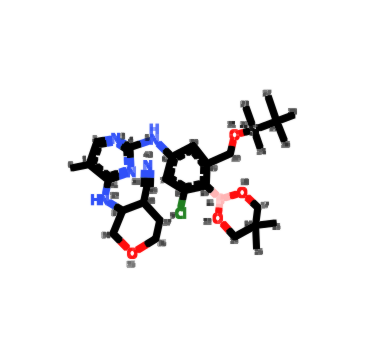 Cc1cnc(Nc2cc(Cl)c(B3OCC(C)(C)CO3)c(CO[Si](C)(C)C(C)(C)C)c2)nc1NC1COCCC1C#N